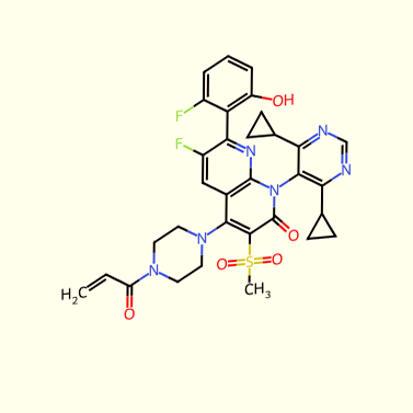 C=CC(=O)N1CCN(c2c(S(C)(=O)=O)c(=O)n(-c3c(C4CC4)ncnc3C3CC3)c3nc(-c4c(O)cccc4F)c(F)cc23)CC1